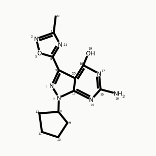 Cc1noc(-c2nn(C3CCCC3)c3nc(N)nc(O)c23)n1